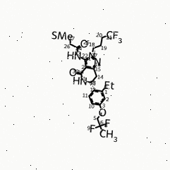 CCc1cc(OCC(C)(F)F)ccc1[C@H]1Cc2nn(CCCC(F)(F)F)c(NC(=O)CSC)c2C(=O)N1